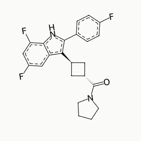 O=C([C@H]1C[C@H](c2c(-c3ccc(F)cc3)[nH]c3c(F)cc(F)cc32)C1)N1CCCC1